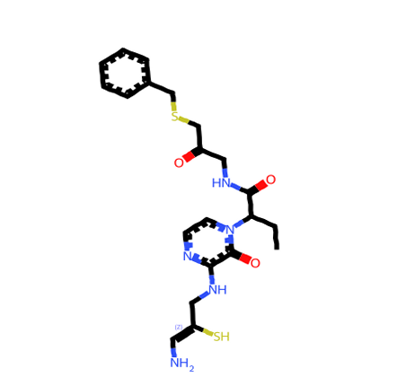 CCC(C(=O)NCC(=O)CSCc1ccccc1)n1ccnc(NC/C(S)=C/N)c1=O